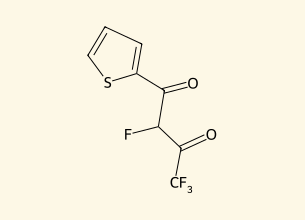 O=C(c1cccs1)C(F)C(=O)C(F)(F)F